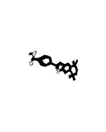 COC(=O)c1ccc(-c2cc3cc4c(cc3s2)C(C)(C)CCC4(C)C)cc1